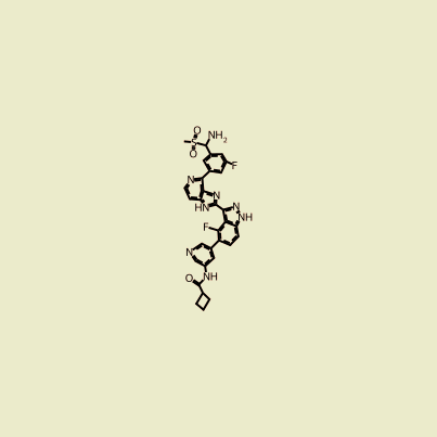 CS(=O)(=O)C(N)c1cc(F)cc(-c2nccc3[nH]c(-c4n[nH]c5ccc(-c6cncc(NC(=O)C7CCC7)c6)c(F)c45)nc23)c1